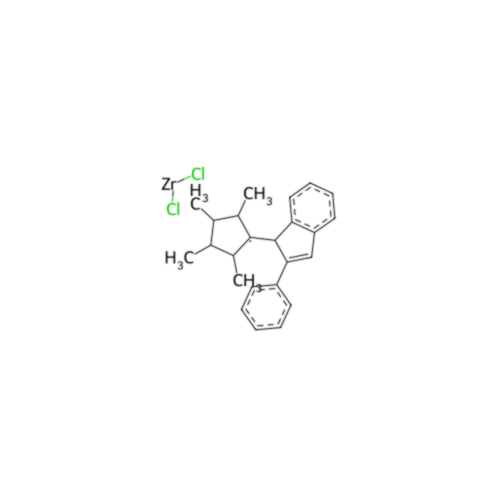 CC1[C](C2C(c3ccccc3)=Cc3ccccc32)C(C)C(C)C1C.[Cl][Zr][Cl]